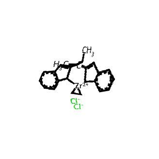 CCC1=Cc2ccccc2[CH]1[Zr+2]1([CH]2C(CC)=Cc3ccccc32)[CH2][CH2]1.[Cl-].[Cl-]